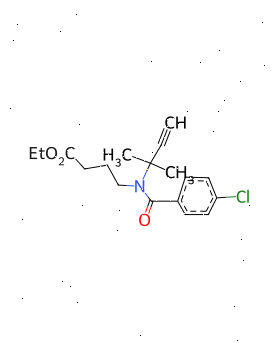 C#CC(C)(C)N(CCCC(=O)OCC)C(=O)c1ccc(Cl)cc1